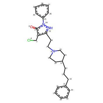 O=c1c(CCl)c(CCN2CCC(CCCc3ccccc3)CC2)[nH]n1-c1ccccc1